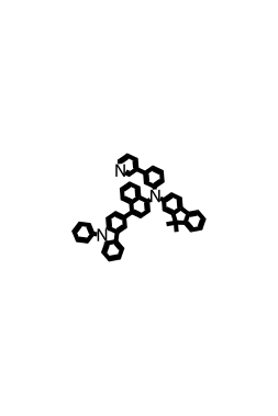 CC1(C)c2ccccc2-c2ccc(N(c3cccc(-c4cccnc4)c3)c3ccc(-c4ccc5c(c4)c4ccccc4n5-c4ccccc4)c4ccccc34)cc21